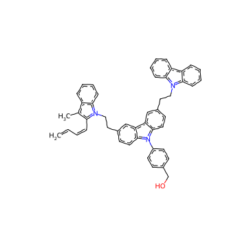 C=C/C=C\c1c(C)c2ccccc2n1CCc1ccc2c(c1)c1cc(CCn3c4ccccc4c4ccccc43)ccc1n2-c1ccc(CO)cc1